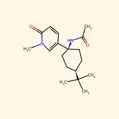 CC(=O)N[C@]1(c2ccc(=O)n(C)c2)CC[C@H](C(C)(C)C)CC1